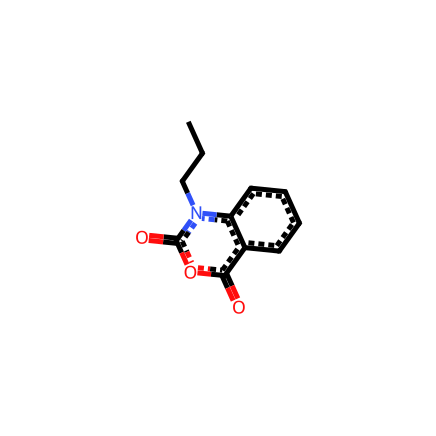 CCCn1c(=O)oc(=O)c2ccccc21